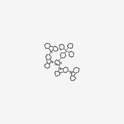 c1ccc(S(c2ccccc2)(c2ccccc2)c2ccc(-c3cc(-n4c5ccccc5c5ccc(-n6c7ccccc7c7ccccc76)cc54)nc(-n4c5ccccc5c5cc(-n6c7ccccc7c7ccccc76)ccc54)n3)cc2)cc1